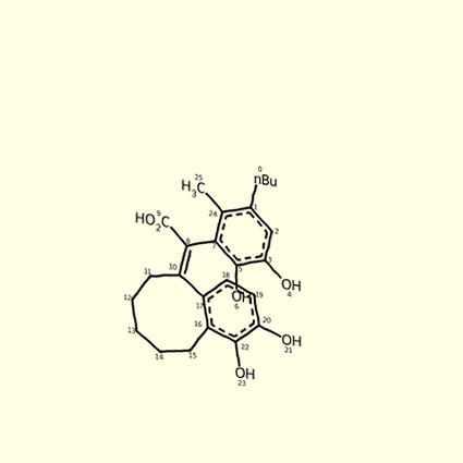 CCCCc1cc(O)c(O)c(/C(C(=O)O)=C2/CCCCCc3c2ccc(O)c3O)c1C